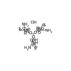 Cl.NCCCC[C@@H](NC(=O)Cc1ccsc1)C(=O)Nc1ccc(C(c2ccc(NC(=O)[C@@H](CCCCN)NC(=O)Cc3ccsc3)cc2)c2ccc(NC(=O)[C@@H](CCCCN)NC(=O)Cc3ccsc3)cc2)cc1